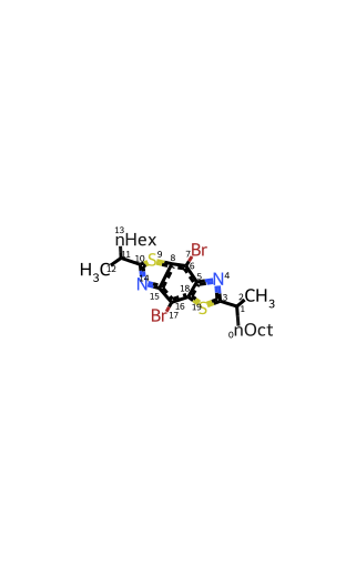 CCCCCCCCC(C)c1nc2c(Br)c3sc(C(C)CCCCCC)nc3c(Br)c2s1